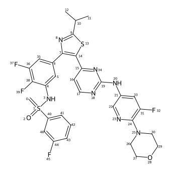 C=S(=O)(Nc1cc(-c2nc(C(C)C)sc2-c2ccnc(Nc3cnc(N4CCOCC4)c(F)c3)n2)cc(F)c1F)c1cccc(F)c1